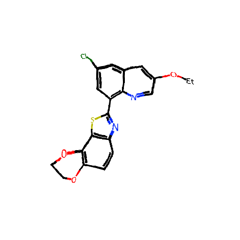 CCOc1cnc2c(-c3nc4ccc5c(c4s3)OCCO5)cc(Cl)cc2c1